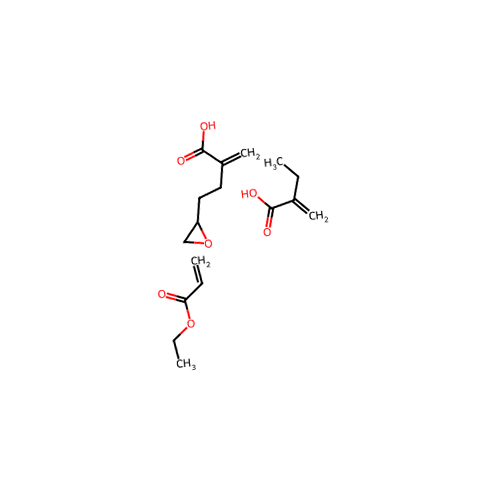 C=C(CC)C(=O)O.C=C(CCC1CO1)C(=O)O.C=CC(=O)OCC